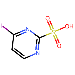 O=S(=O)(O)c1nccc(I)n1